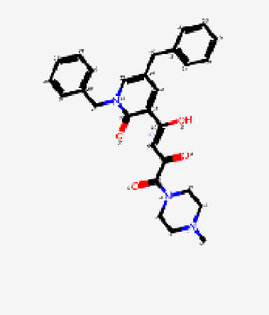 CN1CCN(C(=O)C(=O)/C=C(\O)c2cc(Cc3ccccc3)cn(Cc3ccccc3)c2=O)CC1